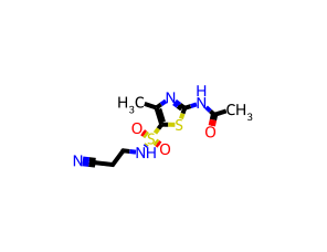 CC(=O)Nc1nc(C)c(S(=O)(=O)NCCC#N)s1